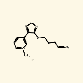 C=CCCCOc1nsnc1-c1ccc[n+](C)c1.[I-]